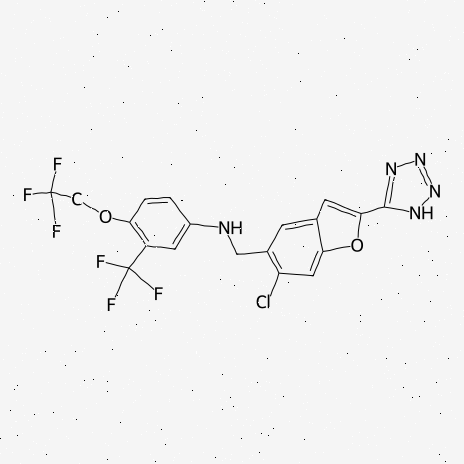 FC(F)(F)COc1ccc(NCc2cc3cc(-c4nnn[nH]4)oc3cc2Cl)cc1C(F)(F)F